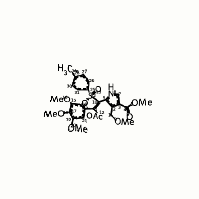 COCc1c(C(=O)OC)c[nH]c1C(=C(OC(C)=O)c1cc(OC)c(OC)c(OC)c1)S(=O)(=O)c1ccc(C)cc1